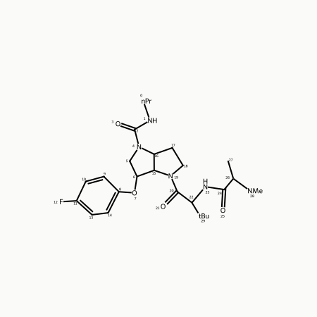 CCCNC(=O)N1CC(Oc2ccc(F)cc2)C2C1CCN2C(=O)C(NC(=O)C(C)NC)C(C)(C)C